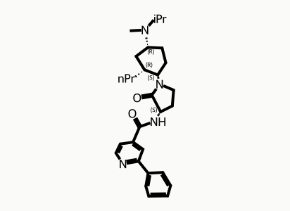 CCC[C@@H]1C[C@H](N(C)C(C)C)CC[C@@H]1N1CC[C@H](NC(=O)c2ccnc(-c3ccccc3)c2)C1=O